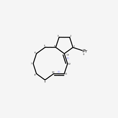 CC(C)C1CCC2CCCCC/C=C/C=C\21